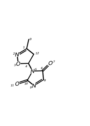 CC1=NOC(N2C(=O)C=NC2=O)C1